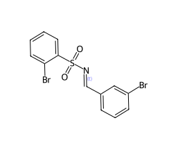 O=S(=O)(/N=C/c1cccc(Br)c1)c1ccccc1Br